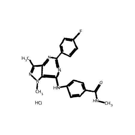 CNC(=O)c1ccc(Nc2nc(-c3ccc(F)cc3)nc3c(C)nn(C)c23)cc1.Cl